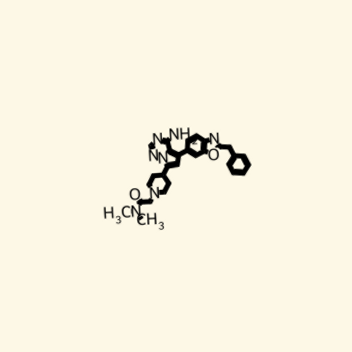 CN(C)C(=O)CN1CCC(c2cc(-c3ccc4nc(Cc5ccccc5)oc4c3)c3c(N)ncnn23)CC1